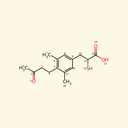 CC(=O)CCc1c(C)cc(CC(S)C(=O)O)cc1C